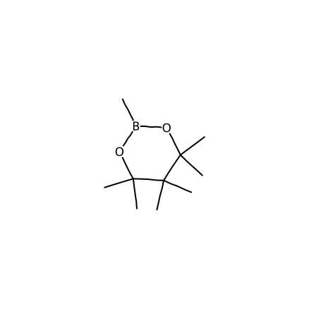 CB1OC(C)(C)C(C)(C)C(C)(C)O1